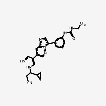 N#CCC(N/C=C(\C=N)c1cnn2c(-c3cccc(NC(=O)NCC(F)(F)F)c3)cnc2c1)C1CC1